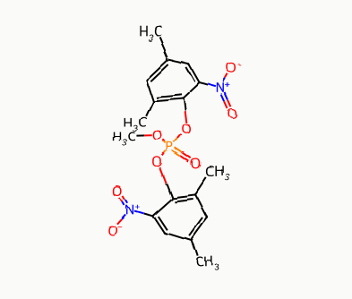 COP(=O)(Oc1c(C)cc(C)cc1[N+](=O)[O-])Oc1c(C)cc(C)cc1[N+](=O)[O-]